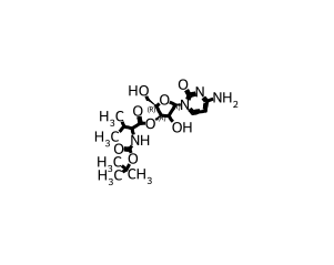 CC(C)C(NC(=O)OC(C)(C)C)C(=O)O[C@@H]1C(O)[C@H](n2ccc(N)nc2=O)O[C@@H]1CO